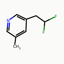 Cc1cncc(CC(F)F)c1